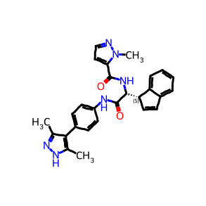 Cc1n[nH]c(C)c1-c1ccc(NC(=O)C(NC(=O)c2ccnn2C)[C@H]2C=Cc3ccccc32)cc1